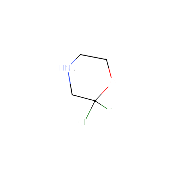 ClC1(Cl)CNCCO1